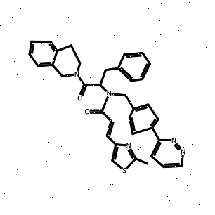 Cc1nc(C=CC(=O)N(Cc2ccc(-c3cccnn3)cc2)C(Cc2ccccc2)C(=O)N2CCc3ccccc3C2)cs1